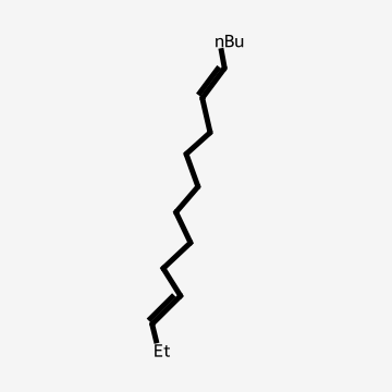 [CH2]CCCC=CCCCCCCC=CCC